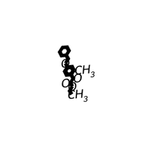 CCOC(=O)C(=O)c1ccc(OCC2CCCCC2)cc1C